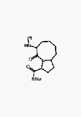 CNC(=O)C1CCC2CCCCC(NC(C)C)C(=O)N21